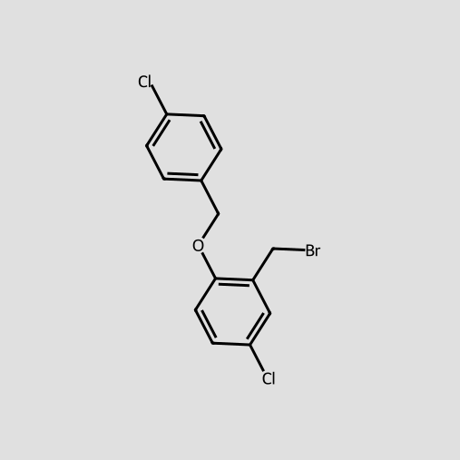 Clc1ccc(COc2ccc(Cl)cc2CBr)cc1